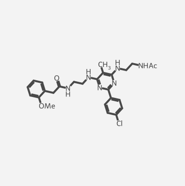 COc1ccccc1CC(=O)NCCNc1nc(-c2ccc(Cl)cc2)nc(NCCNC(C)=O)c1C